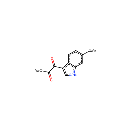 COC(=O)C(=O)c1c[nH]c2cc(OC)ccc12